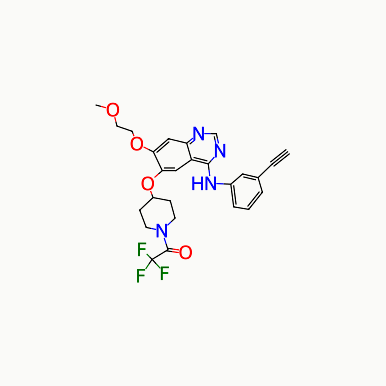 C#Cc1cccc(Nc2ncnc3cc(OCCOC)c(OC4CCN(C(=O)C(F)(F)F)CC4)cc23)c1